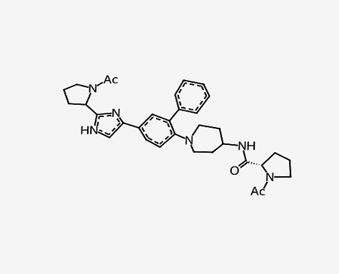 CC(=O)N1CCCC1c1nc(-c2ccc(N3CCC(NC(=O)[C@@H]4CCCN4C(C)=O)CC3)c(-c3ccccc3)c2)c[nH]1